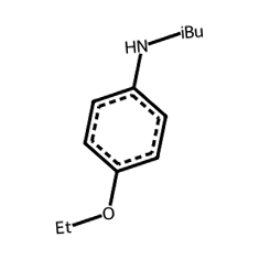 CCOc1ccc(NC(C)CC)cc1